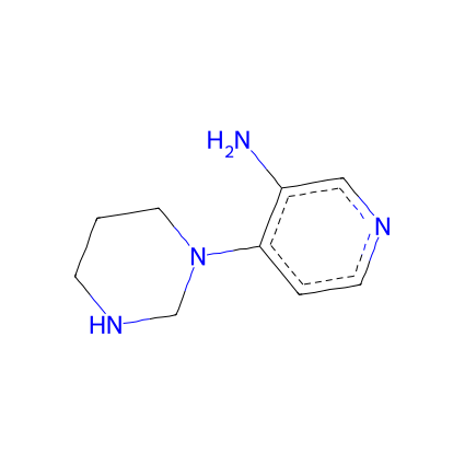 Nc1cnccc1N1CCCNC1